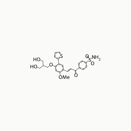 COc1cc(OCC(CO)CO)c(-c2cccs2)cc1/C=C/C(=O)c1ccc(S(N)(=O)=O)cc1